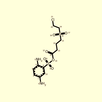 Nc1ccc(N)c(S(=O)(=O)OC(=O)CCCS(=O)(=O)CCCl)c1